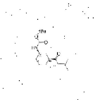 CC(C)=CC(=O)[C@H]1CCC[C@@H](NC(=O)OC(C)(C)C)C1